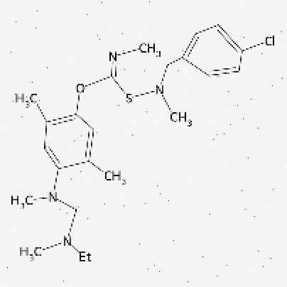 CCN(C)CN(C)c1cc(C)c(O/C(=N/C)SN(C)Cc2ccc(Cl)cc2)cc1C